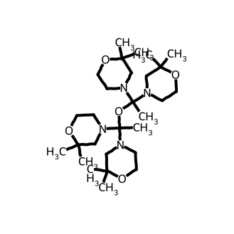 CC1(C)CN(C(C)(OC(C)(N2CCOC(C)(C)C2)N2CCOC(C)(C)C2)N2CCOC(C)(C)C2)CCO1